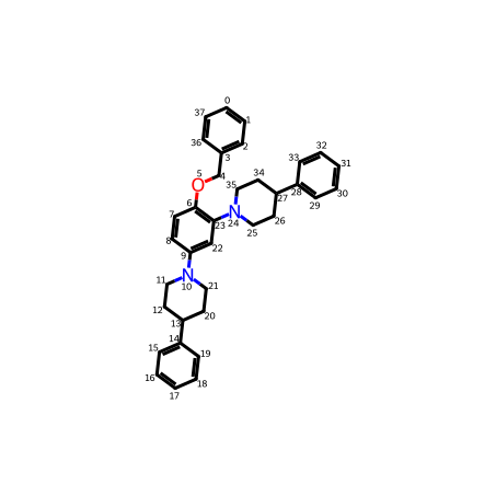 c1ccc(COc2ccc(N3CCC(c4ccccc4)CC3)cc2N2CCC(c3ccccc3)CC2)cc1